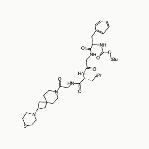 CC(C)C[C@@H](NC(=O)CNC(=O)C(Cc1ccccc1)NC(=O)OC(C)(C)C)C(=O)NCC(=O)N1CCC2(CC1)CC(N1CCSCC1)C2